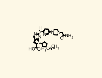 CNC.NC(=O)CN1CCN(c2ccc(Nc3ncc4cc(C(=O)O)n(C5CCCC5)c4n3)nc2)CC1